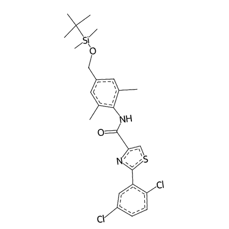 Cc1cc(CO[Si](C)(C)C(C)(C)C)cc(C)c1NC(=O)c1csc(-c2cc(Cl)ccc2Cl)n1